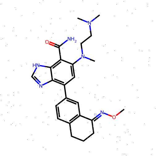 CO/N=C1\CCCc2ccc(-c3cc(N(C)CCN(C)C)c(C(N)=O)c4[nH]cnc34)cc21